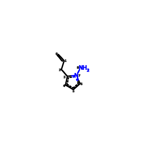 C=CCc1cccn1N